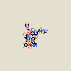 CC[C@@H]1C[C@]1(NC(=O)[C@@H]1C[C@@H](Oc2cc(-c3csc(NC(C)C)n3)nc3c(Cl)c(OCCN4CCOCC4)ccc23)CN1C(=O)[C@@H](NC(=O)O[C@H]1C[C@@H](C)[C@@H](C)C1)C(C)(C)C)C(=O)OC